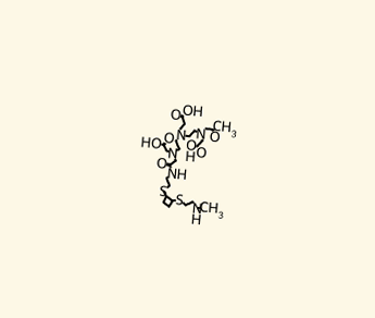 CNCCSC1CCC1SCCNC(=O)CN(CCN(CCC(=O)O)CCN(CC(C)=O)CC(=O)O)CC(=O)O